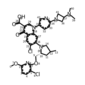 COc1ccc(Cl)c(OC[C@H]2CC(C)CN2c2cc3c(cc2Cl)c(=O)c(C(=O)O)cn3-c2ccc(N3CC(N(C)C)C3)nc2)n1